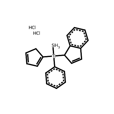 Cl.Cl.[SiH3][Ti]([C]1=CC=CC1)([c]1ccccc1)[CH]1C=Cc2ccccc21